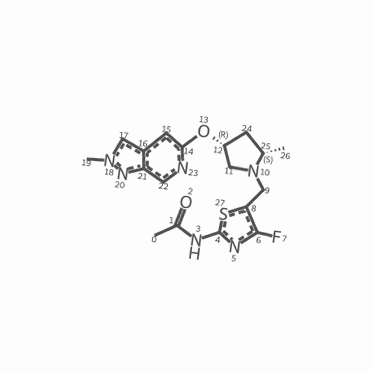 CC(=O)Nc1nc(F)c(CN2C[C@H](Oc3cc4cn(C)nc4cn3)C[C@@H]2C)s1